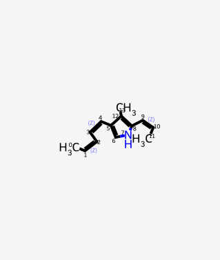 C/C=C\C=C/c1c[nH]c(/C=C\C)c1C